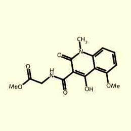 COC(=O)CNC(=O)c1c(O)c2c(OC)cccc2n(C)c1=O